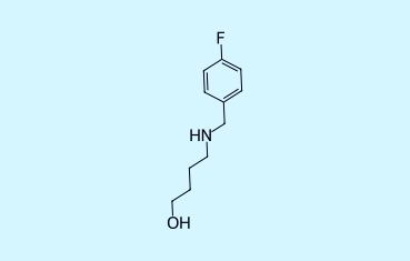 OCCCCNCc1ccc(F)cc1